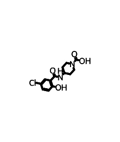 O=C(NC1CCN(C(=O)O)CC1)c1cc(Cl)ccc1O